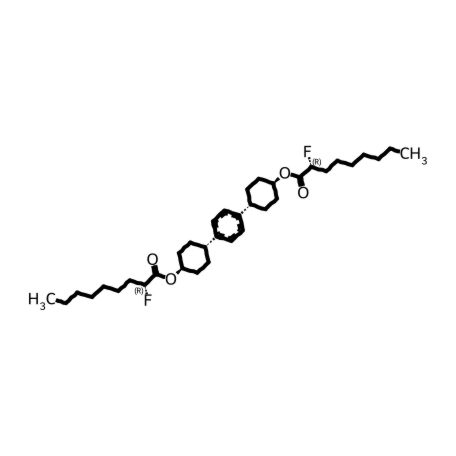 CCCCCCC[C@@H](F)C(=O)O[C@H]1CC[C@H](c2ccc([C@H]3CC[C@H](OC(=O)[C@H](F)CCCCCCC)CC3)cc2)CC1